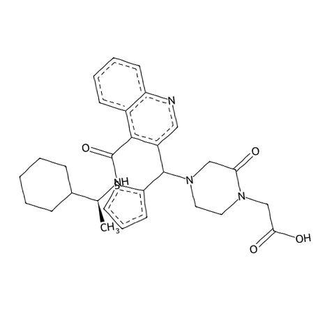 C[C@H](NC(=O)c1c(C(c2cccs2)N2CCN(CC(=O)O)C(=O)C2)cnc2ccccc12)C1CCCCC1